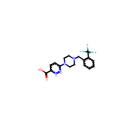 O=C(O)c1ccc(N2CCN(Cc3ccccc3C(F)(F)F)CC2)nn1